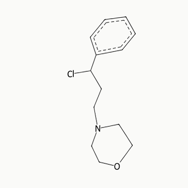 ClC(CCN1CCOCC1)c1ccccc1